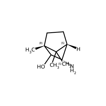 CC1(C)[C@@H]2CC[C@@]1(C)C(O)[C@H]2N